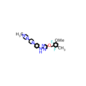 COc1cc(C)c(F)c(COc2cnc(Nc3ccc(N4CCC(N5CCN(C)CC5)CC4)cc3)nc2)c1F